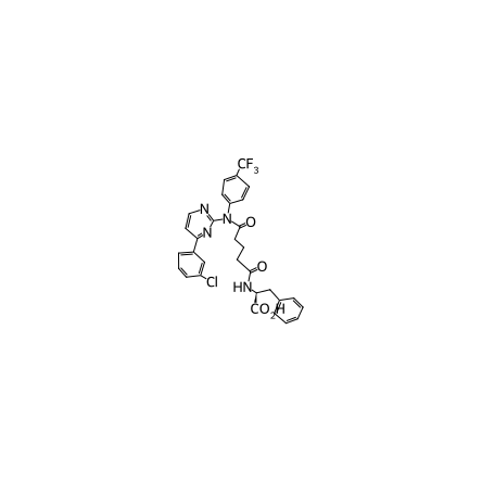 O=C(CCCC(=O)N(c1ccc(C(F)(F)F)cc1)c1nccc(-c2cccc(Cl)c2)n1)N[C@@H](Cc1ccccc1)C(=O)O